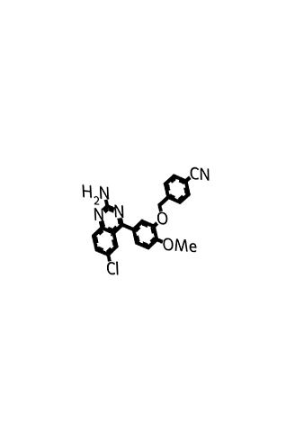 COc1ccc(-c2nc(N)nc3ccc(Cl)cc23)cc1OCc1ccc(C#N)cc1